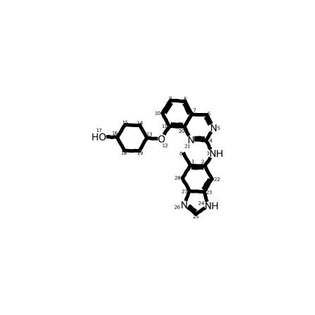 CC1=C(Nc2ncc3cccc(OC4CCC(O)CC4)c3n2)C=C2NC=NC2C1